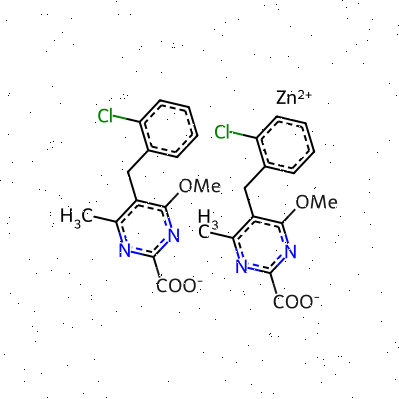 COc1nc(C(=O)[O-])nc(C)c1Cc1ccccc1Cl.COc1nc(C(=O)[O-])nc(C)c1Cc1ccccc1Cl.[Zn+2]